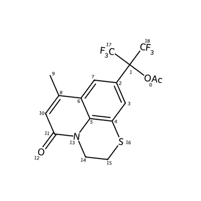 CC(=O)OC(c1cc2c3c(c1)c(C)cc(=O)n3CCS2)(C(F)(F)F)C(F)(F)F